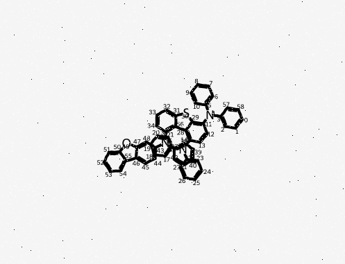 c1ccc(N(c2ccccc2)c2ccc(N(c3ccccc3)c3ccccc3)c3c2sc2cccc(N(c4ccccc4)c4ccc5c(c4)oc4ccccc45)c23)cc1